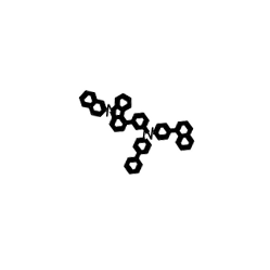 c1ccc(-c2ccc(N(c3ccc(-c4cccc5ccccc45)cc3)c3cccc(-c4cccc5c4c4ccccc4n5-c4ccc5ccccc5c4)c3)cc2)cc1